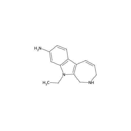 CCn1c2c(c3ccc(N)cc31)C=CCNC2